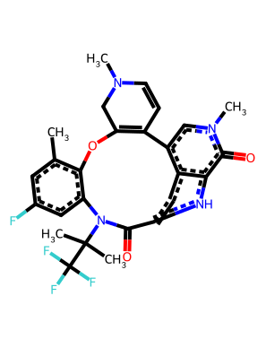 Cc1cc(F)cc2c1OC1=C(C=CN(C)C1)c1cn(C)c(=O)c3[nH]c(cc13)C(=O)N2C(C)(C)C(F)(F)F